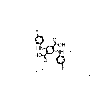 O=C(O)C1=C(Nc2ccc(F)cc2)CC(C(=O)O)=C(Nc2ccc(F)cc2)C1